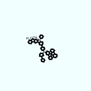 CC1(C)c2ccccc2-c2cc3c4cc(-c5ccc(N(c6cccc(-c7ccccc7)c6)c6ccc7c(c6)-c6ccccc6C76c7ccccc7-c7ccccc76)cc5)ccc4n(-c4ccccc4)c3cc21